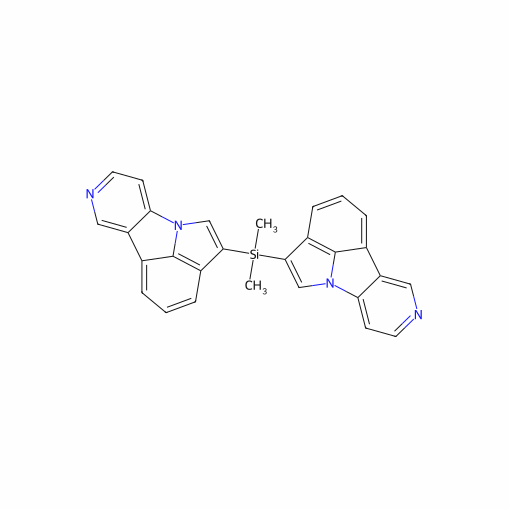 C[Si](C)(c1cn2c3ccncc3c3cccc1c32)c1cn2c3ccncc3c3cccc1c32